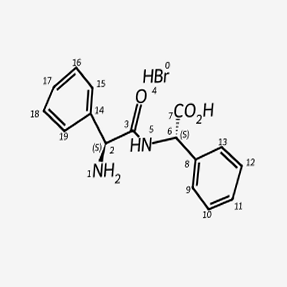 Br.N[C@H](C(=O)N[C@H](C(=O)O)c1ccccc1)c1ccccc1